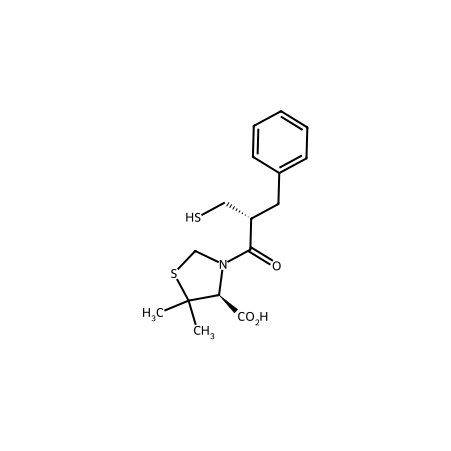 CC1(C)SCN(C(=O)[C@H](CS)Cc2ccccc2)[C@H]1C(=O)O